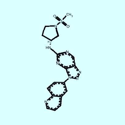 CS(=O)(=O)N1CC[C@@H](Nc2ncc3nnn(-c4ccc5ncccc5c4)c3n2)C1